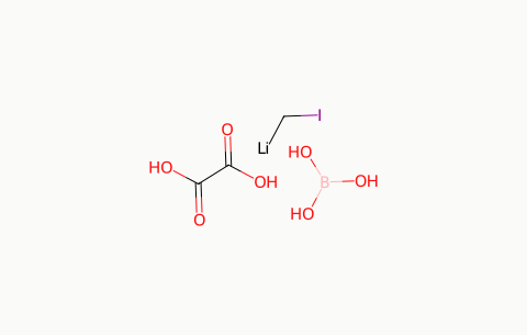 O=C(O)C(=O)O.OB(O)O.[Li][CH2]I